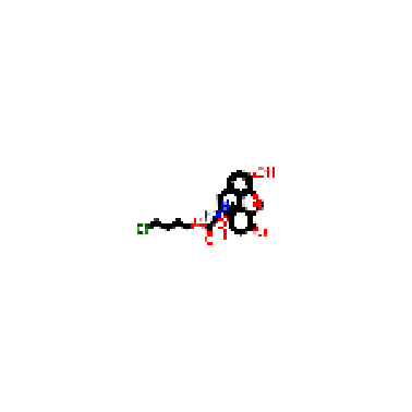 O=C1CCC2(O)[C@H]3Cc4ccc(O)c5c4[C@@]2(CCN3C(=O)OCCCCCl)[C@H]1O5